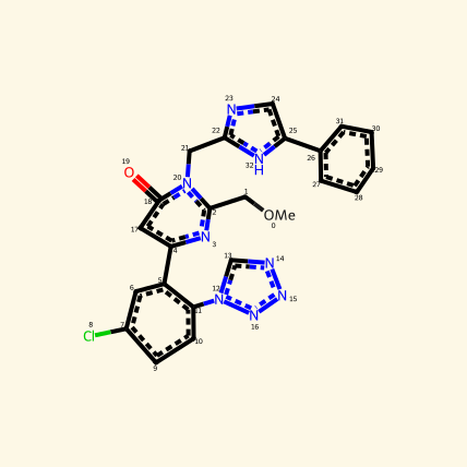 COCc1nc(-c2cc(Cl)ccc2-n2cnnn2)cc(=O)n1Cc1ncc(-c2cc[c]cc2)[nH]1